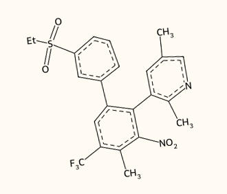 CCS(=O)(=O)c1cccc(-c2cc(C(F)(F)F)c(C)c([N+](=O)[O-])c2-c2cc(C)cnc2C)c1